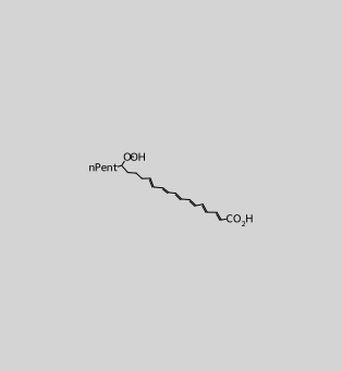 CCCCCC(CCCC=CC=CC=CC=CC=CC=CC(=O)O)OO